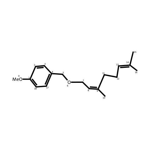 COc1ccc(COCC=C(C)CCC=C(C)C)cc1